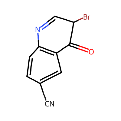 N#Cc1ccc2c(c1)C(=O)C(Br)C=N2